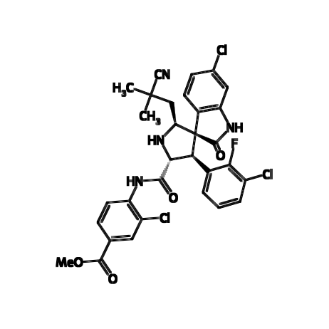 COC(=O)c1ccc(NC(=O)[C@@H]2N[C@@H](CC(C)(C)C#N)[C@@]3(C(=O)Nc4cc(Cl)ccc43)[C@H]2c2cccc(Cl)c2F)c(Cl)c1